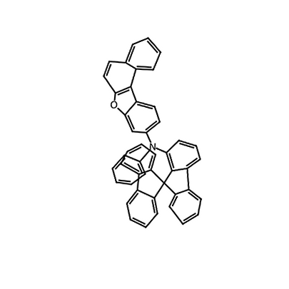 c1ccc(N(c2ccc3c(c2)oc2ccc4ccccc4c23)c2cccc3c2C2(c4ccccc4-c4ccccc42)c2ccccc2-3)cc1